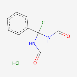 Cl.O=CNC(Cl)(NC=O)c1ccccc1